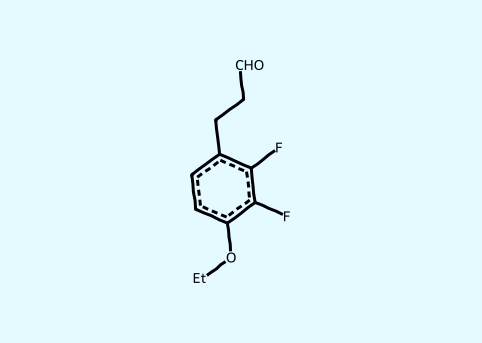 CCOc1ccc(CCC=O)c(F)c1F